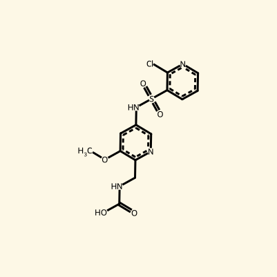 COc1cc(NS(=O)(=O)c2cccnc2Cl)cnc1CNC(=O)O